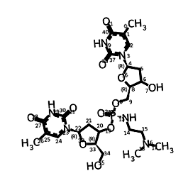 Cc1cn([C@H]2CC(O)[C@@H](CO[P@@](=O)(NCCN(C)C)OC3C[C@H](n4cc(C)c(=O)[nH]c4=O)O[C@@H]3CO)O2)c(=O)[nH]c1=O